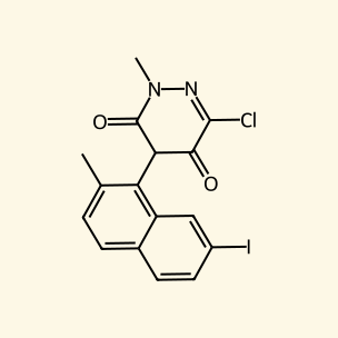 Cc1ccc2ccc(I)cc2c1C1C(=O)C(Cl)=NN(C)C1=O